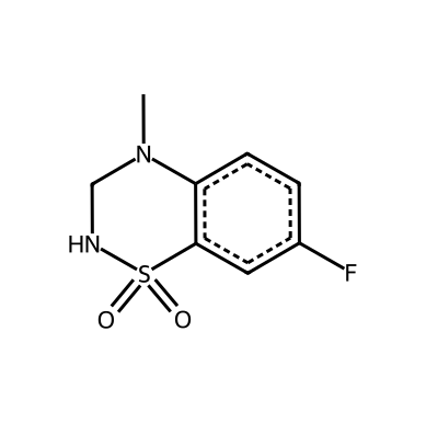 CN1CNS(=O)(=O)c2cc(F)ccc21